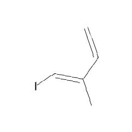 C=CC(C)=CI